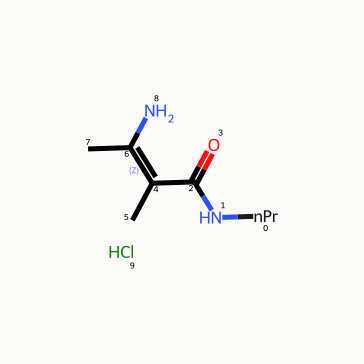 CCCNC(=O)/C(C)=C(/C)N.Cl